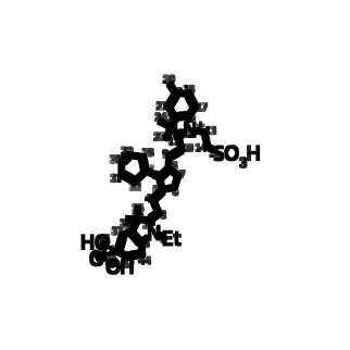 CCN1/C(=C/C=C2\CCC(/C=C/C3=[N+](CCS(=O)(=O)O)c4ccc(C)cc4C3(C)C)=C2c2ccccc2)C(C)(C)c2cc(P(=O)(O)O)ccc21